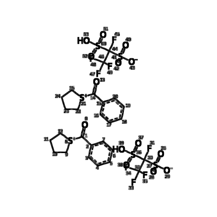 O=C(c1ccccc1)[S+]1CCCC1.O=C(c1ccccc1)[S+]1CCCC1.O=S(=O)([O-])C(F)(C(F)(F)F)S(=O)(=O)O.O=S(=O)([O-])C(F)(C(F)(F)F)S(=O)(=O)O